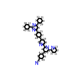 N#Cc1ccc(-c2cc(-c3ccccn3)nc(-c3ccc(-c4ccc(-c5cc(-c6ccccc6)nc(-c6ccccc6)n5)cc4)cn3)c2)cc1